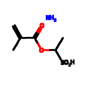 C=C(C)C(=O)OC(C)S(=O)(=O)O.N